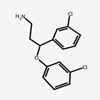 NCCC(Oc1cccc(Cl)c1)c1cccc(Cl)c1